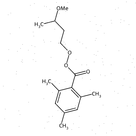 COC(C)C[CH]OOC(=O)c1c(C)cc(C)cc1C